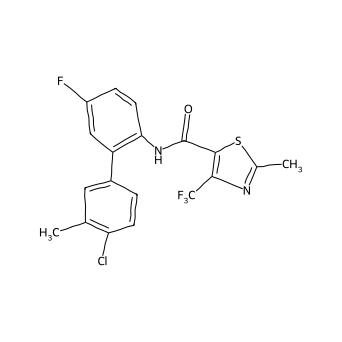 Cc1nc(C(F)(F)F)c(C(=O)Nc2ccc(F)cc2-c2ccc(Cl)c(C)c2)s1